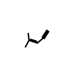 C#C/C=C(/[CH2])C